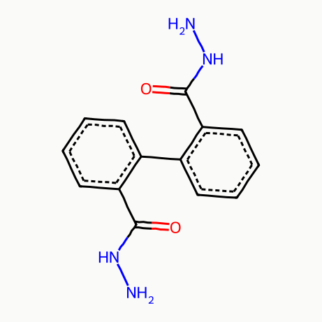 NNC(=O)c1ccccc1-c1ccccc1C(=O)NN